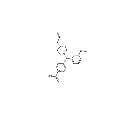 C=CCN1CCN([C@@H](c2ccc(C(=O)O)cc2)c2cccc(OC)c2)CC1